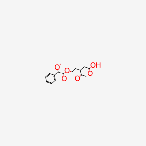 COC(C(=O)OCCC(CC(=O)O)C(C)=O)c1ccccc1